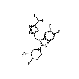 NC1CN(c2nc3cc(F)c(F)cc3n2Cc2nnc(C(F)F)s2)CCC1F